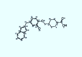 O=C(O)N1CCC(COc2coc(Cn3cc4ccccc4c3)cc2=O)CC1